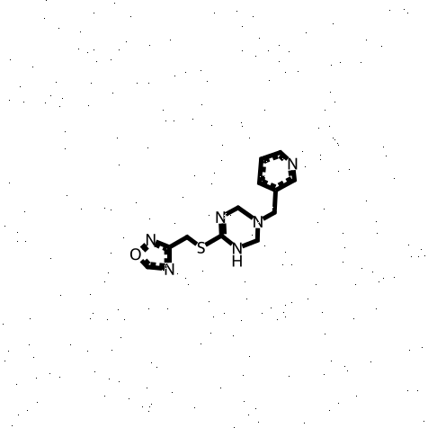 c1cncc(CN2CN=C(SCc3ncon3)NC2)c1